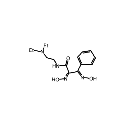 CCN(CC)CCNC(=O)C(=N\O)/C(=N/O)c1ccccc1